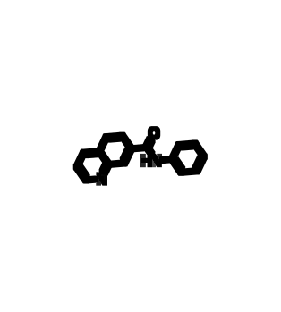 O=C(Nc1ccccc1)c1ccc2cccnc2c1